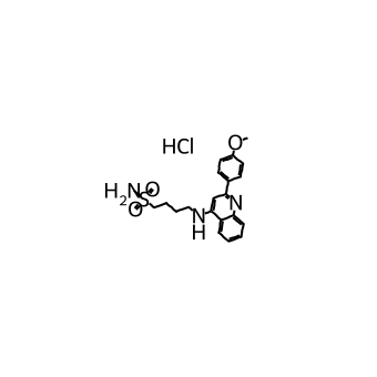 COc1ccc(-c2cc(NCCCCS(N)(=O)=O)c3ccccc3n2)cc1.Cl